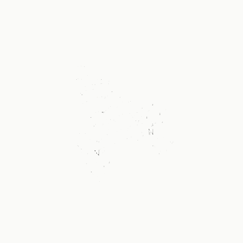 c1ccc(-c2cccc3c(-c4c5cccc(-c6cccc7c6c6ccccc6n7-c6ccccc6)c5cc5c(-c6cccc7c6c6ccccc6n7-c6ccccc6)cccc45)cccc23)cc1